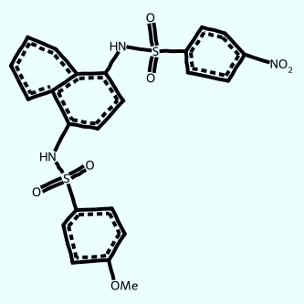 COc1ccc(S(=O)(=O)Nc2ccc(NS(=O)(=O)c3ccc([N+](=O)[O-])cc3)c3ccccc23)cc1